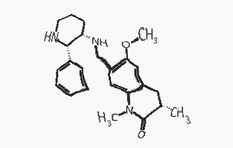 COc1cc2c(cc1CN[C@H]1CCCN[C@H]1c1ccccc1)N(C)C(=O)[C@@H](C)C2